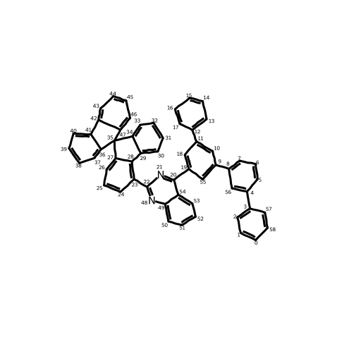 c1ccc(-c2cccc(-c3cc(-c4ccccc4)cc(-c4nc(-c5cccc6c5-c5ccccc5C65c6ccccc6-c6ccccc65)nc5ccccc45)c3)c2)cc1